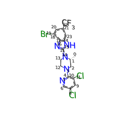 C[C@@H]1CN(c2ncc(Cl)cc2Cl)CCN1c1nc2c(Br)cc(C(F)(F)F)cc2[nH]1